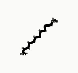 CCCC/C=C/CCCCCCCC[C](C)C